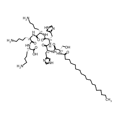 CCCCCCCCCCCCCCCCCC(=O)N[C@@H](CO)C(=O)N[C@@H](Cc1c[nH]cn1)C(=O)N[C@@H](Cc1c[nH]cn1)C(=O)N[C@@H](CCCCN)C(=O)N[C@@H](CCCCN)C(=O)N[C@@H](CCCCN)C(=O)O